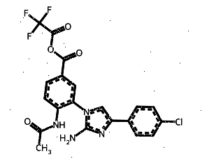 CC(=O)Nc1ccc(C(=O)OC(=O)C(F)(F)F)cc1-n1cc(-c2ccc(Cl)cc2)nc1N